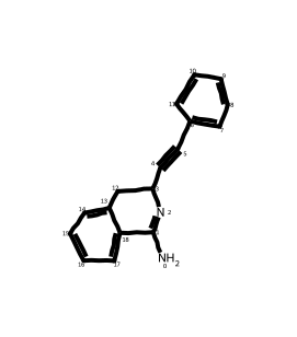 NC1=NC(C#Cc2ccccc2)Cc2ccccc21